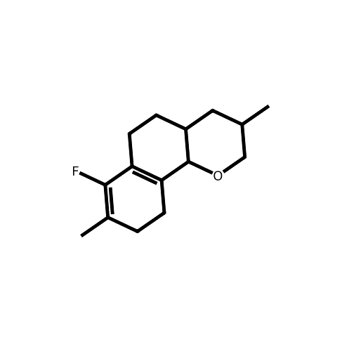 CC1=C(F)C2=C(CC1)C1OCC(C)CC1CC2